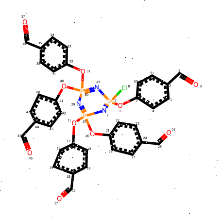 O=Cc1ccc(OP2(Cl)=NP(Oc3ccc(C=O)cc3)(Oc3ccc(C=O)cc3)=NP(Oc3ccc(C=O)cc3)(Oc3ccc(C=O)cc3)=N2)cc1